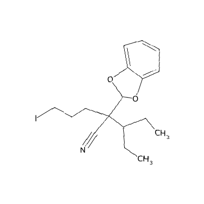 CCC(CC)C(C#N)(CCCI)C1Oc2ccccc2O1